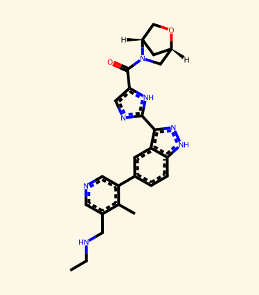 CCNCc1cncc(-c2ccc3[nH]nc(-c4ncc(C(=O)N5C[C@@H]6C[C@H]5CO6)[nH]4)c3c2)c1C